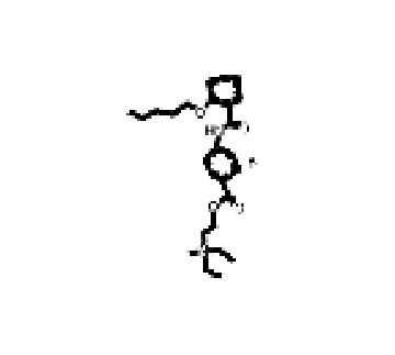 CCCCCOc1ccccc1C(=O)Nc1ccc(C(=O)OCC[N+](C)(CC)CC)cc1.[Br-]